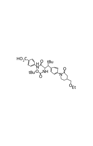 CCOCC1CCN(c2ccc(C(C(NC(=O)OC(C)(C)C)C(=O)Nc3ccc(C(=O)O)cc3)C(C)(C)C)cc2)C(=O)C1